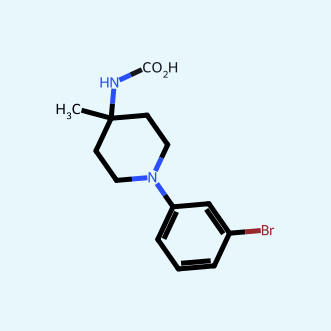 CC1(NC(=O)O)CCN(c2cccc(Br)c2)CC1